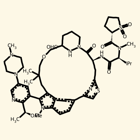 CCn1c(-c2cc(N3CCN(C)CC3)cnc2[C@H](C)OC)c2c3cc(ccc31)-c1csc(n1)C[C@H](NC(=O)[C@H](C(C)C)N(C)C(=O)[C@@H]1CCCS1(=O)=O)C(=O)N1CCC[C@](C=O)(COCC(C)(C)C2)N1